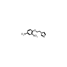 O=[N+]([O-])c1ccc(OCCn2ccnc2)c([N+](=O)[O-])c1